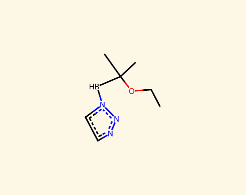 CCOC(C)(C)Bn1ccnn1